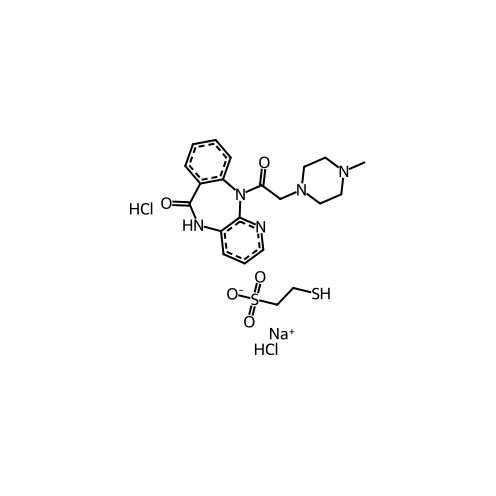 CN1CCN(CC(=O)N2c3ccccc3C(=O)Nc3cccnc32)CC1.Cl.Cl.O=S(=O)([O-])CCS.[Na+]